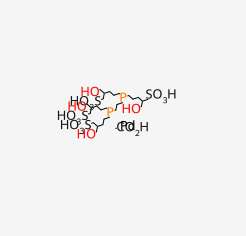 CC(=O)O.O=S(=O)(O)CC(CO)CCCP(CCCC(CO)CS(=O)(=O)O)CCCP(CCCC(CO)CS(=O)(=O)O)CCCC(CO)CS(=O)(=O)O.[Pd]